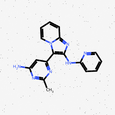 Cc1nc(N)cc(-c2c(Nc3ccccn3)nc3ccccn23)n1